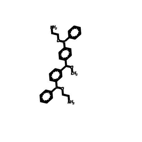 COC(c1ccc(B(OCCN)c2ccccc2)cc1)c1cccc(B(OCCN)c2ccccc2)c1